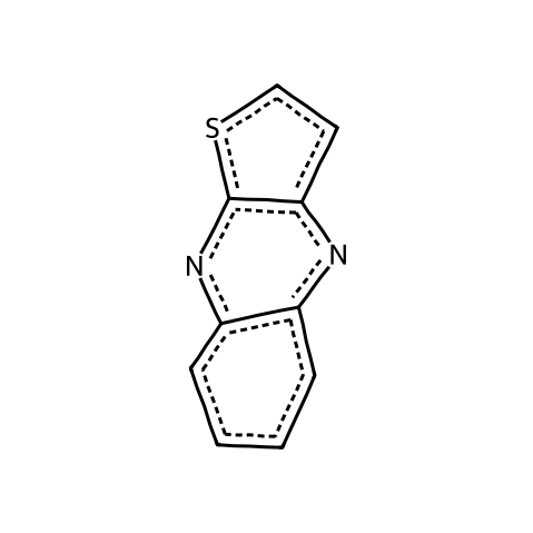 c1ccc2nc3sccc3nc2c1